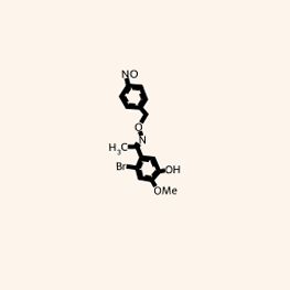 COc1cc(Br)c(/C(C)=N/OCc2ccc(N=O)cc2)cc1O